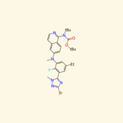 CCc1cc(-c2nc(Br)nn2C)c(F)c(N(C)c2ccc3c(N(C(=O)OC(C)(C)C)C(C)(C)C)nccc3c2)c1